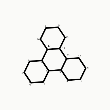 [CH]1CCC2C(C1)C1CCCCC1C1CCCCC21